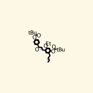 C/C=C/Cc1cc(/C=C/C(=O)c2ccc(OC(=O)C(C)(C)C)cc2)c(OCC)cc1OC(=O)C(C)(C)C